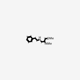 CNC(CNCCc1ccccc1)COC